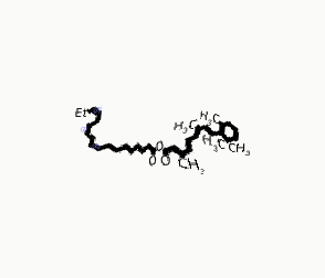 CC/C=C\C/C=C\C/C=C\CCCCCCCC(=O)OC(=O)C=C(C)C=CC=C(C)C=CC1=C(C)CCCC1(C)C